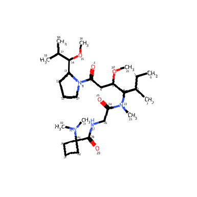 CCC(C)C(C(CC(=O)N1CCCC1C(OC)C(C)C)OC)N(C)C(=O)CNC(=O)C1(N(C)C)CCC1